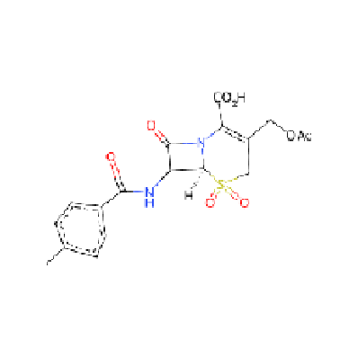 CC(=O)OCC1=C(C(=O)O)N2C(=O)C(NC(=O)c3ccc(C)cc3)[C@@H]2S(=O)(=O)C1